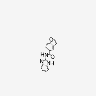 O=C(Nc1nc2ccccc2[nH]1)c1ccc2occc2c1